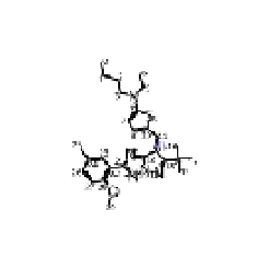 CCCCN(CC)c1ccc(/C=c2/c(C(C)(C)C)nn3nc(-c4cc(C)ccc4OC)nc23)s1